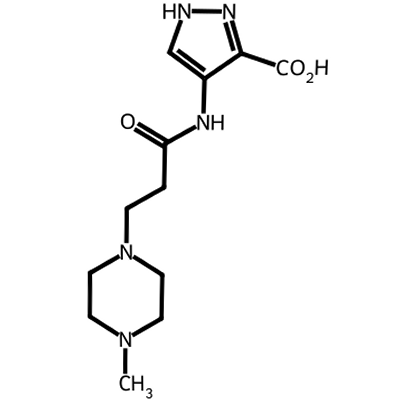 CN1CCN(CCC(=O)Nc2c[nH]nc2C(=O)O)CC1